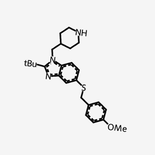 COc1ccc(CSc2ccc3c(c2)nc(C(C)(C)C)n3CC2CCNCC2)cc1